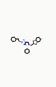 Cn1c(-c2cc3ccccc3o2)nc2c1cc(C=C1C(=O)c3cc(Cl)c(Cl)cc3C1=O)n2-c1ccccc1